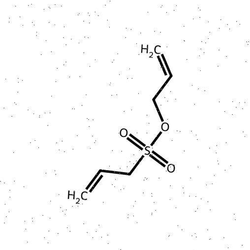 C=CCOS(=O)(=O)CC=C